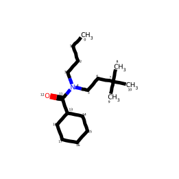 CCCCN(CCC(C)(C)C)C(=O)C1CCCCC1